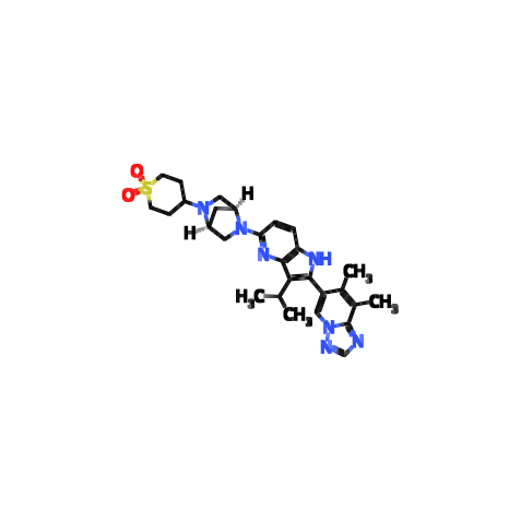 Cc1c(-c2[nH]c3ccc(N4C[C@@H]5C[C@H]4CN5C4CCS(=O)(=O)CC4)nc3c2C(C)C)cn2ncnc2c1C